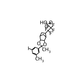 Cc1cc(I)cc(C2(C)OC3C4CC(C3O2)C(C(F)(F)C(F)(F)S(=O)(=O)O)C4)c1